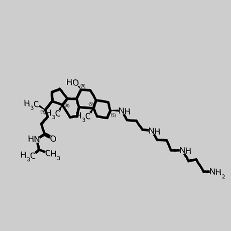 CC(C)NC(=O)CC[C@@H](C)C1CCC2C3C(CC[C@@]21C)[C@@]1(C)CC[C@H](NCCCNCCCNCCCN)CC1C[C@H]3O